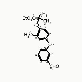 CCOC(=O)C(C)(C)Oc1ccc(Oc2cccc(C=O)c2)cc1C